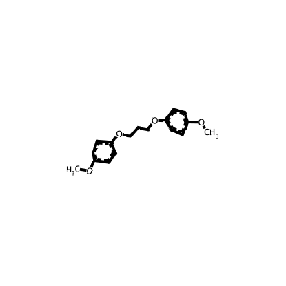 COc1ccc(OCCCOc2ccc(OC)cc2)cc1